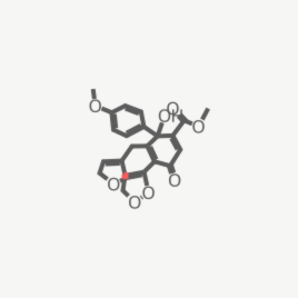 COC(=O)C1=CC(=O)C(C2=CCOO2)=C(CC2=CCOC2)C1(O)c1ccc(OC)cc1